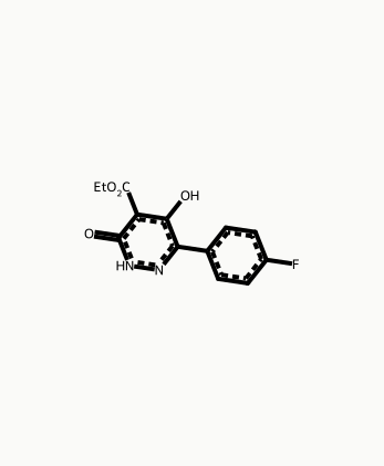 CCOC(=O)c1c(O)c(-c2ccc(F)cc2)n[nH]c1=O